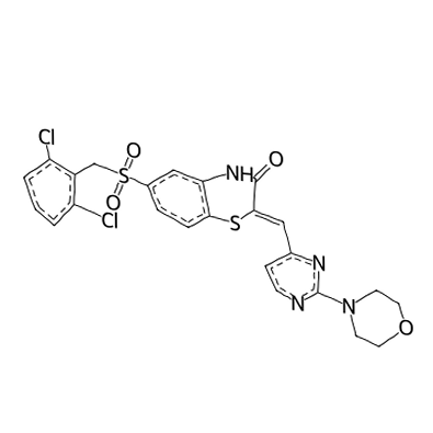 O=C1Nc2cc(S(=O)(=O)Cc3c(Cl)cccc3Cl)ccc2SC1=Cc1ccnc(N2CCOCC2)n1